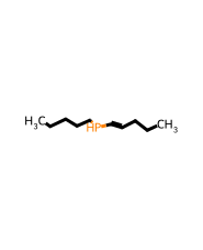 CCCC=CPCCCCC